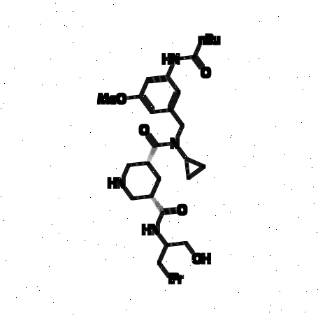 CCCCC(=O)Nc1cc(CN(C(=O)[C@H]2CNC[C@@H](C(=O)NC(CO)CC(C)C)C2)C2CC2)cc(OC)c1